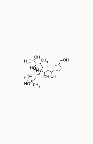 CC(O)C(O)C(C)CC(O)(CC(C)(O)CC(C)(C)O)C(O)C(F)C(O)C1CCC(CO)C1